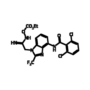 CCOC(=O)ONC(=N)Cn1c(C(F)(F)F)nc2c(NC(=O)c3c(Cl)cccc3Cl)cccc21